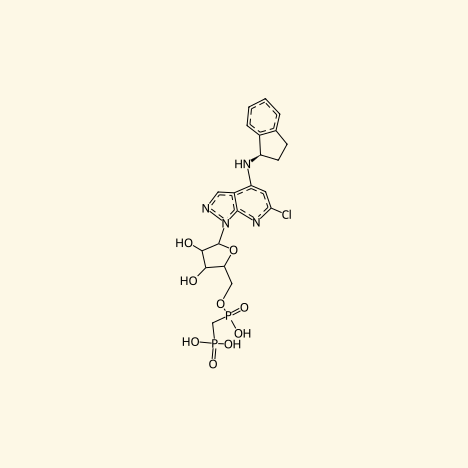 O=P(O)(O)CP(=O)(O)OCC1OC(n2ncc3c(N[C@@H]4CCc5ccccc54)cc(Cl)nc32)C(O)C1O